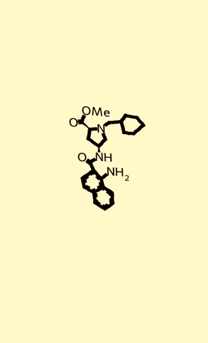 COC(=O)[C@@H]1C[C@H](NC(=O)c2ccc3ccccc3c2N)CN1CC1CCCCC1